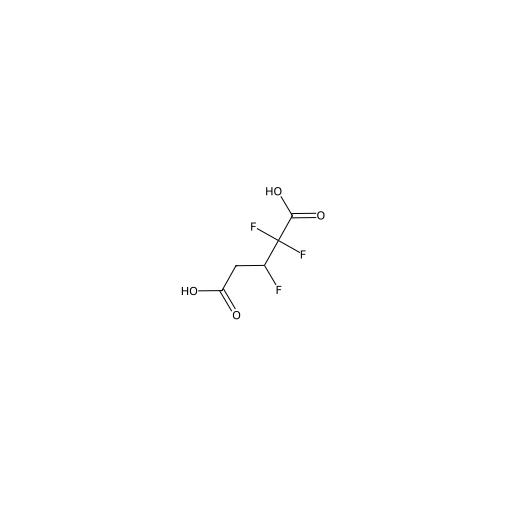 O=C(O)CC(F)C(F)(F)C(=O)O